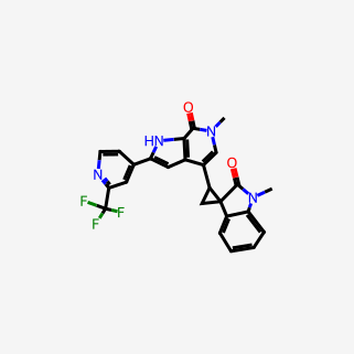 CN1C(=O)C2(CC2c2cn(C)c(=O)c3[nH]c(-c4ccnc(C(F)(F)F)c4)cc23)c2ccccc21